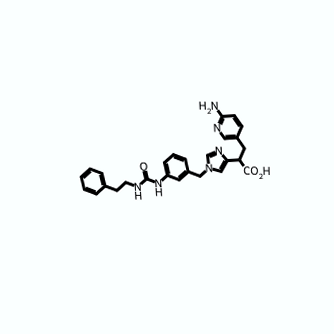 Nc1ccc(CC(C(=O)O)c2cn(Cc3cccc(NC(=O)NCCc4ccccc4)c3)cn2)cn1